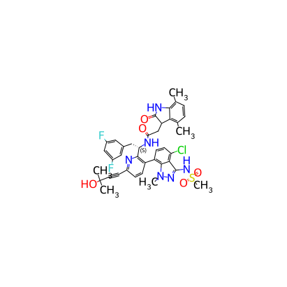 Cc1ccc(C)c2c1NC(=O)C2CC(=O)N[C@@H](Cc1cc(F)cc(F)c1)c1nc(C#CC(C)(C)O)ccc1-c1ccc(Cl)c2c(NS(C)(=O)=O)nn(C)c12